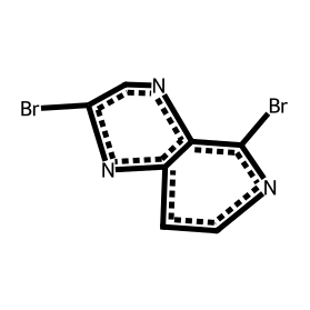 Brc1cnc2c(Br)nccc2n1